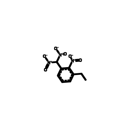 CCc1cccc([C]([N+](=O)[O-])[N+](=O)[O-])c1[N+](=O)[O-]